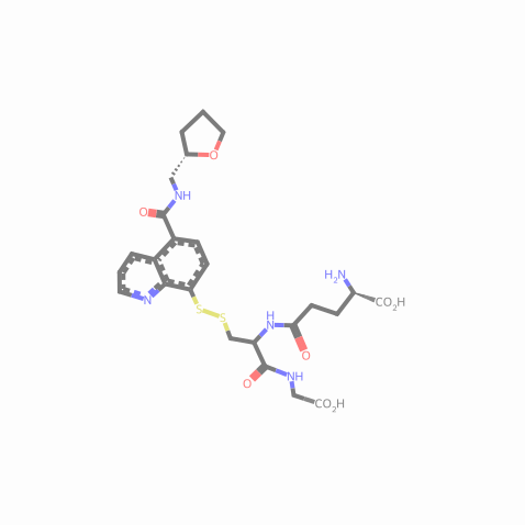 N[C@H](CCC(=O)NC(CSSc1ccc(C(=O)NC[C@@H]2CCCO2)c2cccnc12)C(=O)NCC(=O)O)C(=O)O